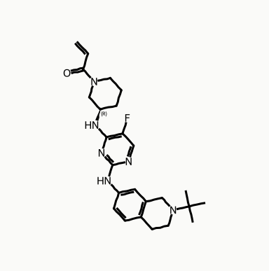 C=CC(=O)N1CCC[C@@H](Nc2nc(Nc3ccc4c(c3)CN(C(C)(C)C)CC4)ncc2F)C1